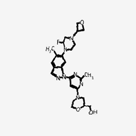 Cc1nc(N2CCO[C@H](CO)C2)cc(-n2ncc3cc(C)c(N4CCN(C5COC5)CC4F)cc32)n1